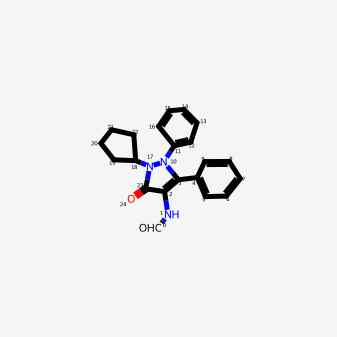 O=CNc1c(-c2ccccc2)n(-c2ccccc2)n(C2CCCC2)c1=O